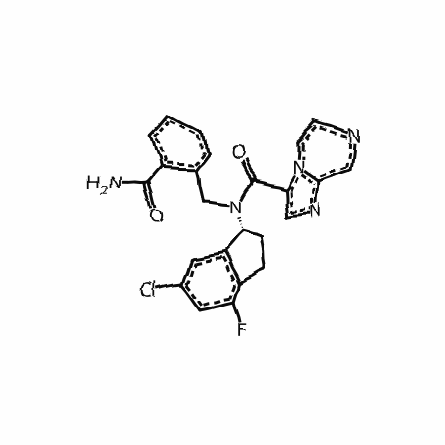 NC(=O)c1ccccc1CN(C(=O)c1cnc2cnccn12)[C@@H]1CCc2c(F)cc(Cl)cc21